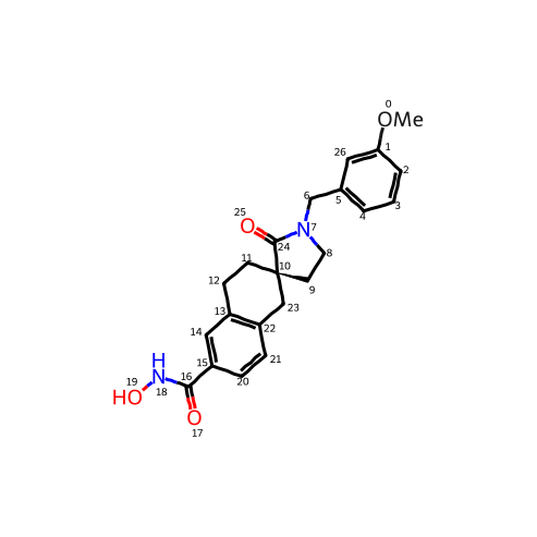 COc1cccc(CN2CC[C@@]3(CCc4cc(C(=O)NO)ccc4C3)C2=O)c1